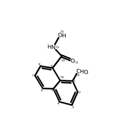 O=Cc1cccc2cccc(C(=O)NO)c12